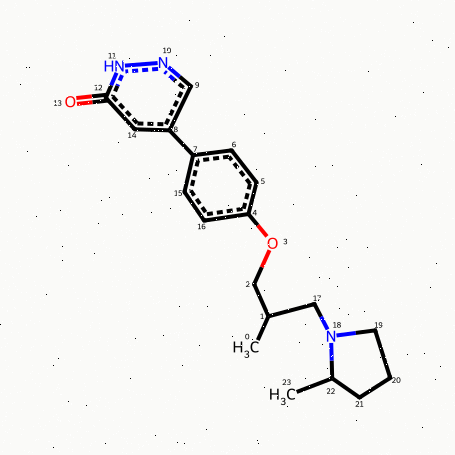 CC(COc1ccc(-c2cn[nH]c(=O)c2)cc1)CN1CCCC1C